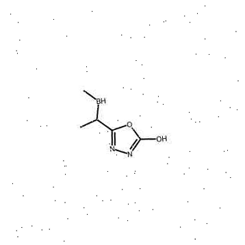 CBC(C)c1nnc(O)o1